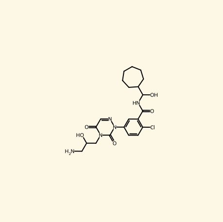 NCC(O)Cn1c(=O)cnn(-c2ccc(Cl)c(C(=O)NC(O)C3CCCCCC3)c2)c1=O